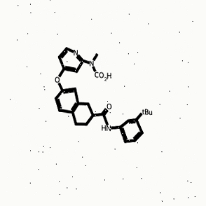 CN(C(=O)O)c1cc(Oc2ccc3c(c2)CC(C(=O)Nc2cccc(C(C)(C)C)c2)CC3)ccn1